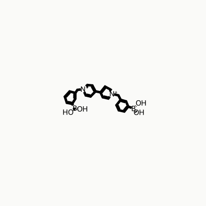 OB(O)c1cccc(C[n+]2ccc(-c3cc[n+](Cc4cccc(B(O)O)c4)cc3)cc2)c1